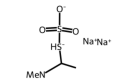 CNC(C)[SH-]S(=O)(=O)[O-].[Na+].[Na+]